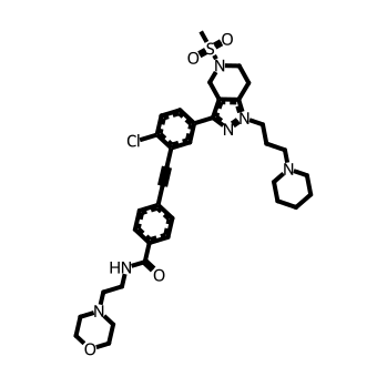 CS(=O)(=O)N1CCc2c(c(-c3ccc(Cl)c(C#Cc4ccc(C(=O)NCCN5CCOCC5)cc4)c3)nn2CCCN2CCCCC2)C1